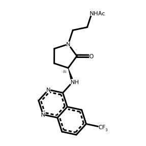 CC(=O)NCCN1CC[C@H](Nc2ncnc3ccc(C(F)(F)F)cc23)C1=O